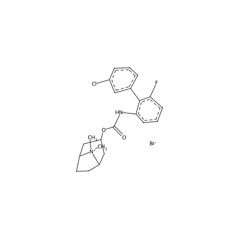 C[N+]1(C)C2CCC1CC(OC(=O)Nc1cccc(F)c1-c1cccc(Cl)c1)C2.[Br-]